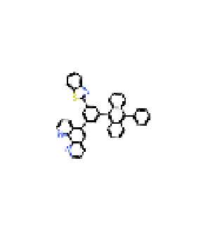 c1ccc(-c2c3ccccc3c(-c3cc(-c4nc5ccccc5s4)cc(-c4cc5cccnc5c5ncccc45)c3)c3ccccc23)cc1